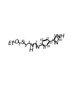 CCOCSCCNC=Nc1ccc(-c2c[nH]cn2)cc1